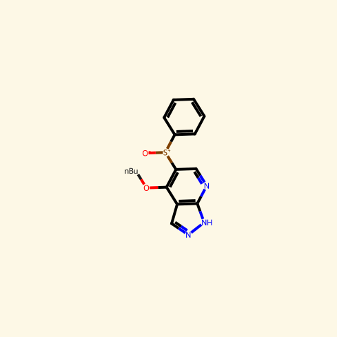 CCCCOc1c([S+]([O-])c2ccccc2)cnc2[nH]ncc12